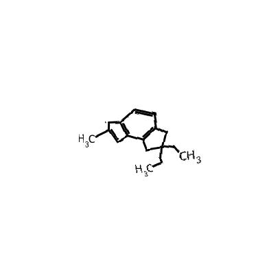 CCC1(CC)Cc2ccc3c(c2C1)C=C(C)[CH]3